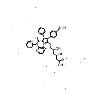 CC(C)n1c(CC[C@@H](O)C[C@@H](O)CC(=O)O)c(-c2ccc(F)cc2)c(-c2ccccc2)c1C(=O)N(c1ccccn1)c1ccccn1.[NaH]